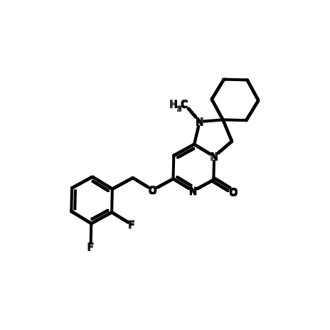 CN1c2cc(OCc3cccc(F)c3F)nc(=O)n2CC12CCCCC2